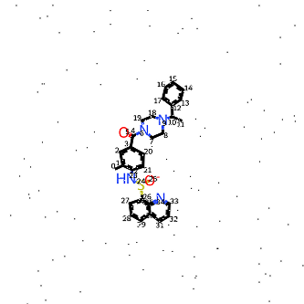 Cc1cc(C(=O)N2CCN(C(C)c3ccccc3)CC2)ccc1N[S+]([O-])c1cccc2cccnc12